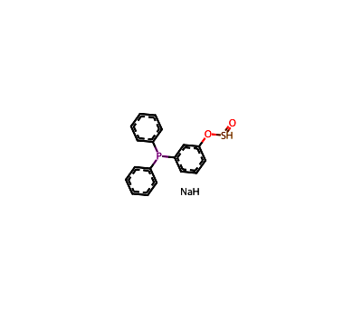 O=[SH]Oc1cccc(P(c2ccccc2)c2ccccc2)c1.[NaH]